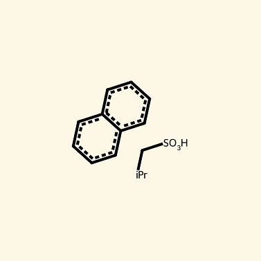 CC(C)CS(=O)(=O)O.c1ccc2ccccc2c1